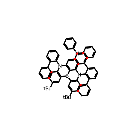 CC(C)(C)c1ccc2c(c1)B1c3cc(C(C)(C)C)ccc3N(c3c(C4=CCCC=C4)cccc3-c3ccccc3)c3cc(N(c4ccccc4)c4ccccc4)cc(c31)N2c1ccccc1-c1ccccc1